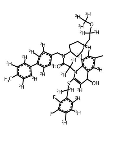 [2H]C1=C(SC([2H])([2H])c2c([2H])c([2H])c([2H])c(F)c2F)N(C([2H])([2H])C(=O)N(Cc2c([2H])c([2H])c(-c3c([2H])c([2H])c(C(F)(F)F)c([2H])c3[2H])c([2H])c2[2H])C2CCN(CC([2H])([2H])OC([2H])([2H])[2H])CC2)c2c([2H])c([2H])c(C)c([2H])c2C1O